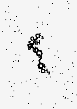 Cc1ccc(CCN2CCC3CN(c4ncsc4NC(=O)CC(F)(F)F)CC3C2)cn1